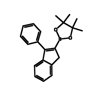 CC1(C)OB(C2=C(c3ccccc3)c3ccccc3C2)OC1(C)C